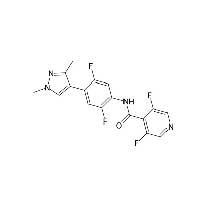 Cc1nn(C)cc1-c1cc(F)c(NC(=O)c2c(F)cncc2F)cc1F